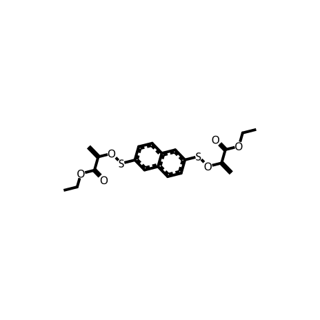 C=C(OSc1ccc2cc(SOC(=C)C(=O)OCC)ccc2c1)C(=O)OCC